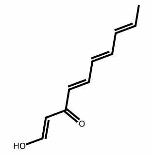 CC=CC=CC=CC(=O)C=CO